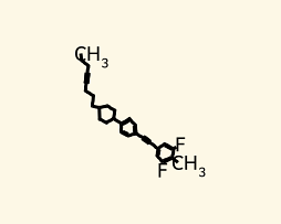 CCCC#CCCCC1CCC(c2ccc(C#Cc3cc(F)c(C)c(F)c3)cc2)CC1